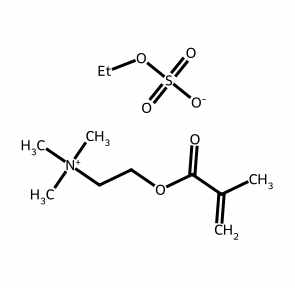 C=C(C)C(=O)OCC[N+](C)(C)C.CCOS(=O)(=O)[O-]